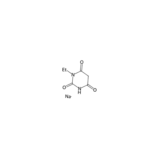 CCN1C(=O)CC(=O)NC1=O.[Na]